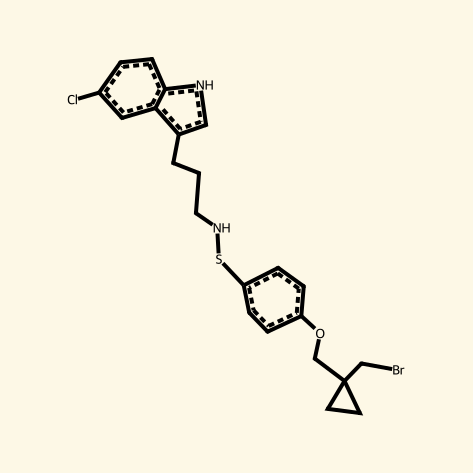 Clc1ccc2[nH]cc(CCCNSc3ccc(OCC4(CBr)CC4)cc3)c2c1